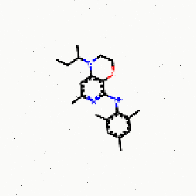 CCC(C)N1CCOc2c1cc(C)nc2Nc1c(C)cc(C)cc1C